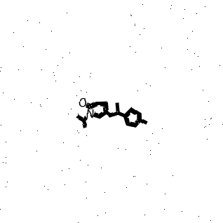 Cc1ccc(C(C)Cc2ccc(=O)n(C(C)C)c2)cc1